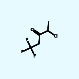 CC(Cl)C(=O)CC(F)(F)F